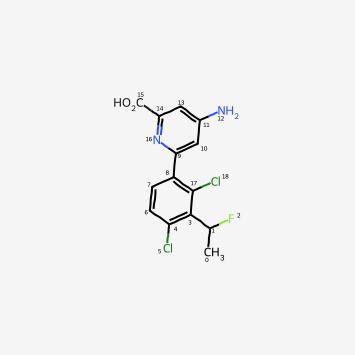 CC(F)c1c(Cl)ccc(-c2cc(N)cc(C(=O)O)n2)c1Cl